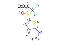 CCOC(=O)C(F)(F)[S+]([O-])c1nc2cccnc2s1